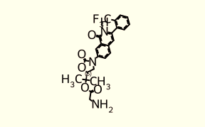 CC(C)(OC(=O)CN)[C@@H]1CN(c2ccc3cc(-c4ccccc4C(F)(F)F)[nH]c(=O)c3c2)C(=O)O1